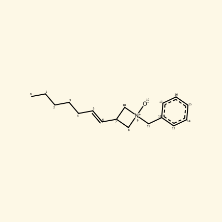 CCCCCC=CC1C[N+]([O-])(Cc2ccccc2)C1